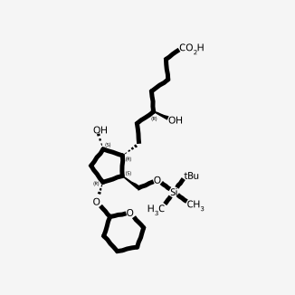 CC(C)(C)[Si](C)(C)OC[C@@H]1[C@@H](CC[C@H](O)CCCC(=O)O)[C@@H](O)C[C@H]1OC1CCCCO1